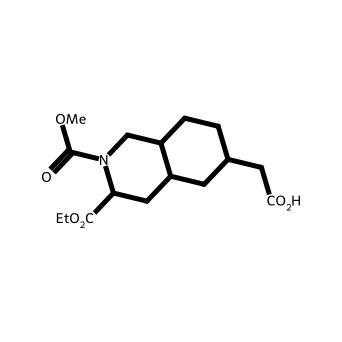 CCOC(=O)C1CC2CC(CC(=O)O)CCC2CN1C(=O)OC